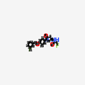 O=C(CF)N[C@H]1CC(=O)N(c2ccc(OCc3cccc(F)c3)cc2)C1